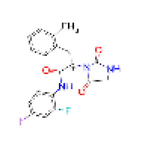 Cc1ccccc1C[C@@H](C(=O)Nc1ccc(I)cc1F)N1C(=O)CNC1=O